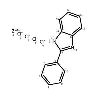 [Cl-].[Cl-].[Cl-].[Cl-].[Zr+4].c1ccc(-c2nc3ccccc3[nH]2)cc1